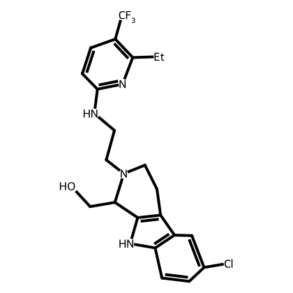 CCc1nc(NCCN2CCc3c([nH]c4ccc(Cl)cc34)C2CO)ccc1C(F)(F)F